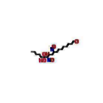 CCCCCC(O)(O)C(CCC(CCCCCCCC=O)N=O)N=O